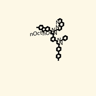 CCCCCCCCC1(CCCCCCCC)c2cc(C)ccc2-c2ccc(-c3cc(-c4cccc(-c5cc(-c6ccc(-c7ccc(C)cc7)cc6)nc(-c6ccccc6)n5)c4)nc(-c4ccc5ccc6cccnc6c5n4)n3)cc21